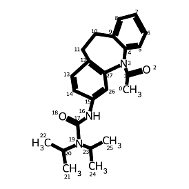 CC(=O)N1c2ccccc2CCc2ccc(NC(=O)N(C(C)C)C(C)C)cc21